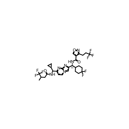 CC(CC(=O)NC(c1ccn2cc([C@@H](NC(=O)c3conc3CCC(F)(F)F)C3CCC(F)(F)CC3)nc2n1)C1CC1)C(F)(F)F